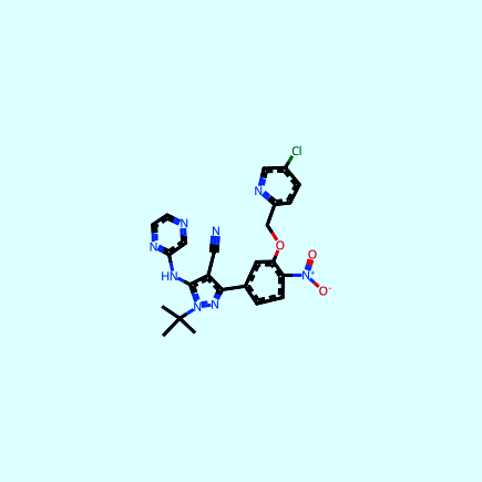 CC(C)(C)n1nc(-c2ccc([N+](=O)[O-])c(OCc3ccc(Cl)cn3)c2)c(C#N)c1Nc1cnccn1